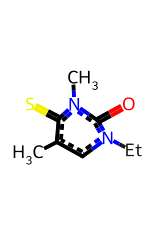 CCn1cc(C)c(=S)n(C)c1=O